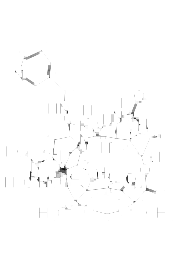 CC[C@H]1OC(=O)[C@@]2(C)CCO[C@@](C)(C[C@@H](C)CN[C@H](C)[C@H]3NC(=O)O[C@@]31C)[C@H](O[C@@H]1O[C@H](CNCc3cccnc3)C[C@H](N(C)C)[C@H]1O)[C@@H](C)C2=O